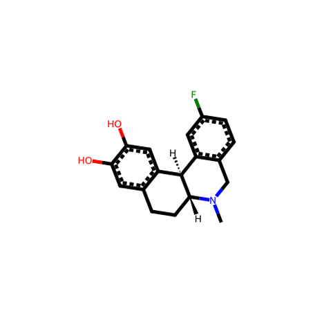 CN1Cc2ccc(F)cc2[C@@H]2c3cc(O)c(O)cc3CC[C@H]21